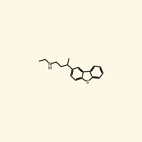 CCNCCC(C)c1ccc2sc3ccccc3c2c1